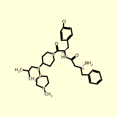 CC(C)CN(C1CCN(C(=O)[C@@H](Cc2ccc(Cl)cc2)NC(=O)C[C@H](N)Cc2ccccc2)CC1)N1CCN(C)CC1